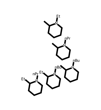 CCCCN1CCCCC1C.CCCCN1CCCCC1CC.CCCN1CCCCC1C.CCCN1CCCCC1CC.CCN1CCCCC1C